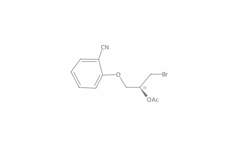 CC(=O)O[C@H](CBr)COc1ccccc1C#N